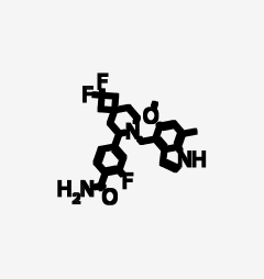 COc1cc(C)c2[nH]ccc2c1CN1CCC2(CC1c1ccc(C(N)=O)c(F)c1)CC(F)(F)C2